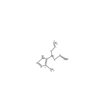 C=C[CH2][Ni]([CH2]C=N)[c]1[nH]ccc1C